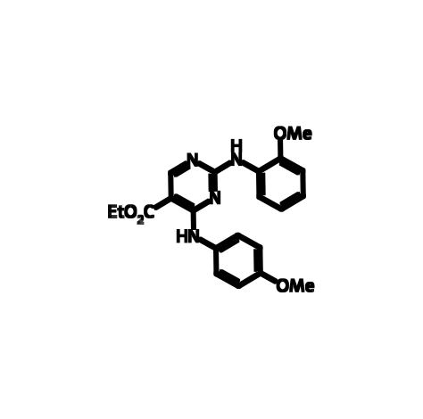 CCOC(=O)c1cnc(Nc2ccccc2OC)nc1Nc1ccc(OC)cc1